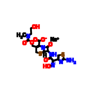 CN(CCO)C(=O)OCC1=C(C(=O)[O-])N2C(=O)C(NC(=O)/C(=N\O)c3csc(N)n3)[C@H]2SC1.[Na+]